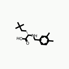 Cc1ccc(CN[C@@H](CCC(C)(C)C)C(=O)O)cc1C